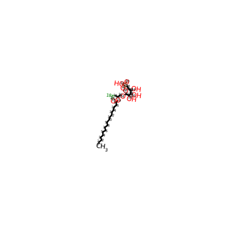 CCCCCCCCCCCCCCCCCC(=O)OC(C[18F])CO[C@H]1OC(CS(=O)(=O)O)[C@@H](O)[C@H](O)C1O